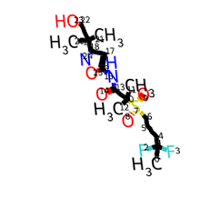 CC(F)(F)CCCS(=O)(=O)C(C)(C)C(=O)Nc1cc(C(C)(C)CO)no1